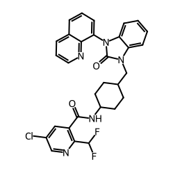 O=C(NC1CCC(Cn2c(=O)n(-c3cccc4cccnc34)c3ccccc32)CC1)c1cc(Cl)cnc1C(F)F